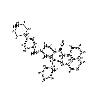 O=c1c2cnc(Nc3ccc(N4CCNCC4)cc3)nc2c(-c2ccccn2)nn1-c1cccc2ccccc12